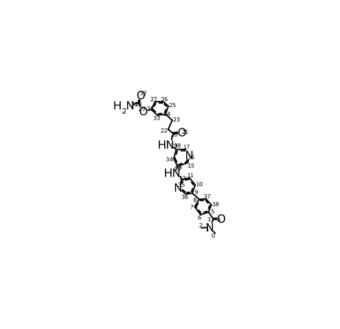 CN(C)C(=O)c1ccc(-c2ccc(Nc3cncc(NC(=O)CCc4cccc(OC(N)=O)c4)c3)nc2)cc1